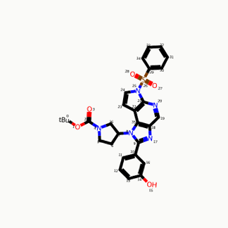 CC(C)(C)OC(=O)N1CCC(n2c(-c3cccc(O)c3)nc3cnc4c(ccn4S(=O)(=O)c4ccccc4)c32)C1